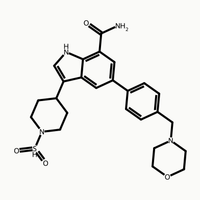 NC(=O)c1cc(-c2ccc(CN3CCOCC3)cc2)cc2c(C3CCN([SH](=O)=O)CC3)c[nH]c12